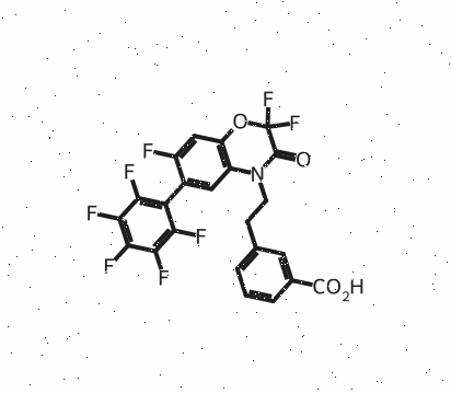 O=C(O)c1cccc(CCN2C(=O)C(F)(F)Oc3cc(F)c(-c4c(F)c(F)c(F)c(F)c4F)cc32)c1